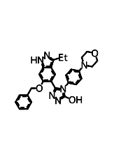 CCc1n[nH]c2cc(OCc3ccccc3)c(-c3nnc(O)n3-c3ccc(N4CCOCC4)cc3)cc12